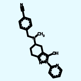 CN(Cc1ccc(C#N)cc1)C1CCc2nn(-c3ccccn3)c(O)c2C1